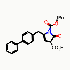 CC(C)(C)OC(=O)N1C(=O)[C@@H](C(=O)O)C=C1Cc1ccc(-c2ccccc2)cc1